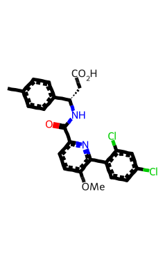 COc1ccc(C(=O)N[C@@H](CC(=O)O)c2ccc(C)cc2)nc1-c1ccc(Cl)cc1Cl